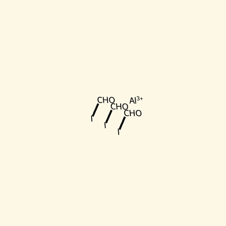 O=[C-]I.O=[C-]I.O=[C-]I.[Al+3]